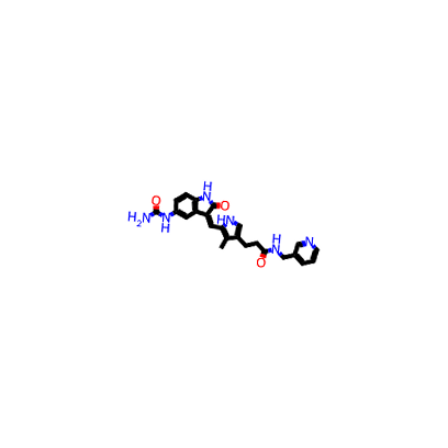 Cc1c(CCC(=O)NCc2cccnc2)c[nH]c1/C=C1\C(=O)Nc2ccc(NC(N)=O)cc21